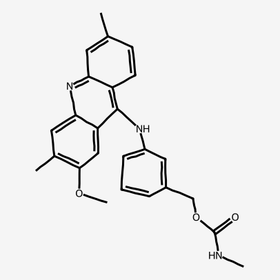 CNC(=O)OCc1cccc(Nc2c3ccc(C)cc3nc3cc(C)c(OC)cc23)c1